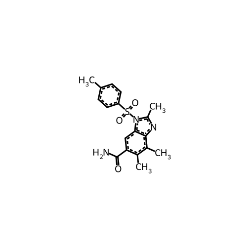 Cc1ccc(S(=O)(=O)n2c(C)nc3c(C)c(C)c(C(N)=O)cc32)cc1